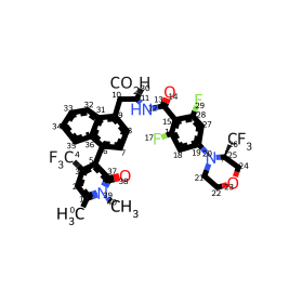 Cc1cc(C(F)(F)F)c(-c2ccc(CC(NC(=O)c3c(F)cc(N4CCOC[C@@H]4C(F)(F)F)cc3F)C(=O)O)c3ccccc23)c(=O)n1C